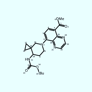 COC(=O)c1ccc(N2CCC(NC(=O)OC(C)(C)C)C3(CC3)C2)c2nccnc12